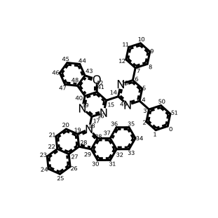 c1ccc(-c2cc(-c3ccccc3)nc(-c3nc(-n4c5ccc6ccccc6c5c5ccc6ccccc6c54)nc4c3oc3ccccc34)n2)cc1